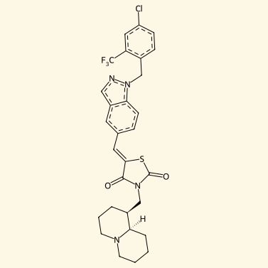 O=C1SC(=Cc2ccc3c(cnn3Cc3ccc(Cl)cc3C(F)(F)F)c2)C(=O)N1C[C@@H]1CCCN2CCCC[C@H]12